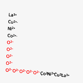 [Co+2].[Co+2].[Cu+2].[Cu+2].[La+3].[La+3].[Ni+2].[Ni+2].[O-2].[O-2].[O-2].[O-2].[O-2].[O-2].[O-2].[O-2].[O-2]